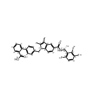 Cc1c(C)n(Cc2ccc(-c3ccccc3C(=O)O)cc2)c2ccc(C(=O)N[C@H](C)c3c(F)ccc(F)c3F)cc12